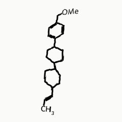 CC=CC1CCC(C2CCC(c3ccc(COC)cc3)CC2)CC1